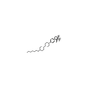 CCCCCCC[C@H]1CC[C@H]([C@H]2CC[C@H](c3ccc(OC(F)(F)F)cc3)CC2)CC1